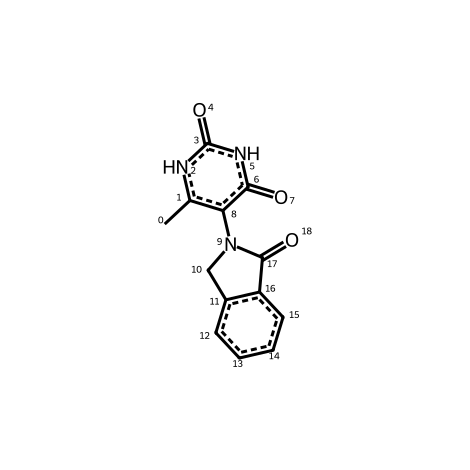 Cc1[nH]c(=O)[nH]c(=O)c1N1Cc2ccccc2C1=O